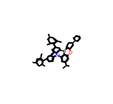 Cc1cc(C)c(-c2ccc3c(c2)c2cc(-c4c(C)cc(C)cc4C)cc4c2n3-c2cc(C(C)C)cc3c2B4c2ccc(-c4ccccc4)cc2O3)c(C)c1